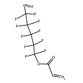 C=CC(=O)OC(F)(F)C(F)(F)C(F)(F)C(F)(F)C(F)(F)CCCCC